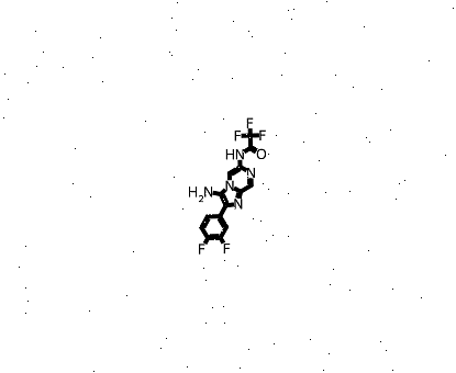 Nc1c(-c2ccc(F)c(F)c2)nc2cnc(NC(=O)C(F)(F)F)cn12